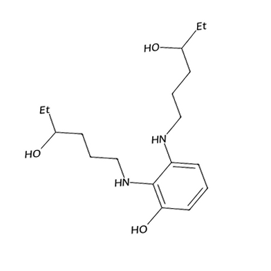 CCC(O)CCCNc1cccc(O)c1NCCCC(O)CC